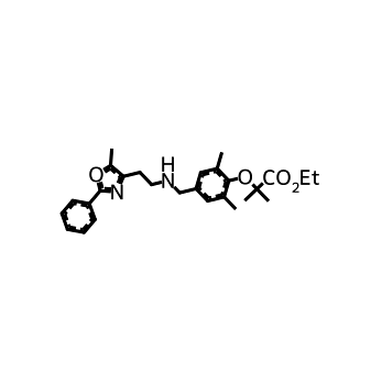 CCOC(=O)C(C)(C)Oc1c(C)cc(CNCCc2nc(-c3ccccc3)oc2C)cc1C